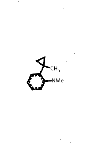 CNc1ccccc1C1(C)CC1